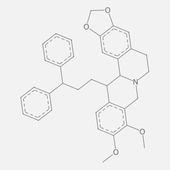 COc1ccc2c(c1OC)CN1CCc3cc4c(cc3C1C2CCC(c1ccccc1)c1ccccc1)OCO4